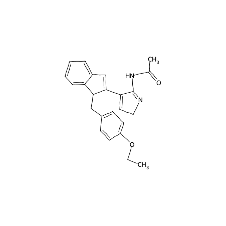 CCOc1ccc(CC2C(C3=CCN=C3NC(C)=O)=Cc3ccccc32)cc1